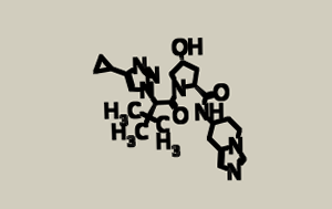 CC(C)(C)[C@H](C(=O)N1C[C@H](O)C[C@H]1C(=O)NC1CCn2cncc2C1)n1cc(C2CC2)nn1